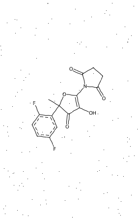 CC1(c2cc(F)ccc2F)OC(N2C(=O)CCC2=O)=C(O)C1=O